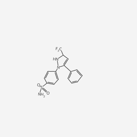 NS(=O)(=O)c1ccc(N2NC(C(F)(F)F)C=C2c2ccccc2)cc1